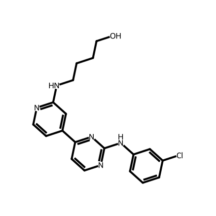 OCCCCNc1cc(-c2ccnc(Nc3cccc(Cl)c3)n2)ccn1